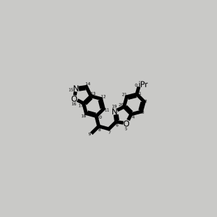 CC(C)c1ccc2oc(CC(C)c3ccc4cnoc4c3)nc2c1